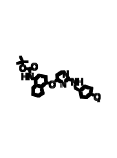 COc1ccc(CNc2nccc(Oc3ccc(NC(=O)OC(C)(C)C)c4ccccc34)n2)cc1